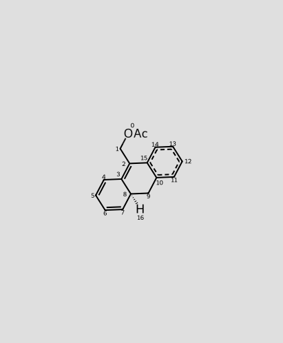 CC(=O)OCC1=C2C=CC=C[C@@H]2Cc2ccccc21